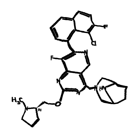 CN1CCC[C@H]1COc1nc(N2CC3CCC(C2)N3)c2cnc(-c3cccc4ccc(F)c(Cl)c34)c(F)c2n1